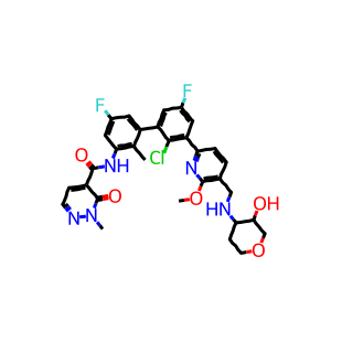 COc1nc(-c2cc(F)cc(-c3cc(F)cc(NC(=O)c4ccnn(C)c4=O)c3C)c2Cl)ccc1CNC1CCOCC1O